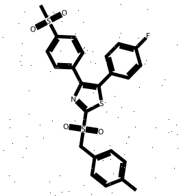 Cc1ccc(CS(=O)(=O)c2nc(-c3ccc(S(C)(=O)=O)cc3)c(-c3ccc(F)cc3)s2)cc1